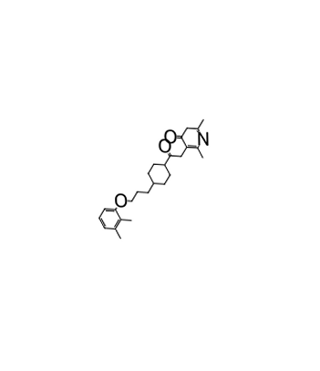 CC1=NC(C)=C(CC(=O)C2CCC(CCCOc3cccc(C)c3C)CC2)C(=O)C1